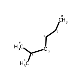 C[CH]COC(C)C